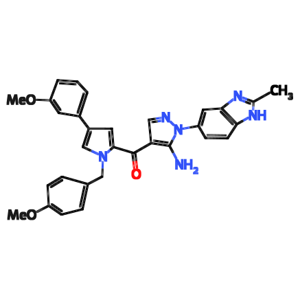 COc1ccc(Cn2cc(-c3cccc(OC)c3)cc2C(=O)c2cnn(-c3ccc4[nH]c(C)nc4c3)c2N)cc1